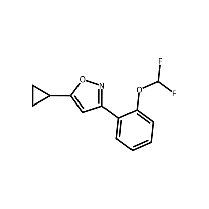 FC(F)Oc1ccccc1-c1cc(C2CC2)on1